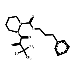 CCC(C)(C)C(=O)C(=O)N1CCCCN1C(=O)OCCCc1ccccc1